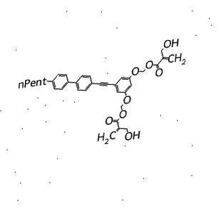 C=C(CO)C(=O)OCOc1cc(C#Cc2ccc(-c3ccc(CCCCC)cc3)cc2)cc(OCOC(=O)C(=C)CO)c1